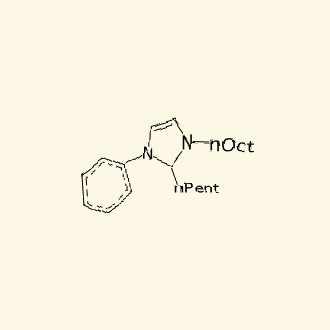 CCCCCCCCN1C=CN(c2ccccc2)C1CCCCC